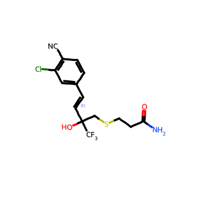 N#Cc1ccc(/C=C/C(O)(CSCCC(N)=O)C(F)(F)F)cc1Cl